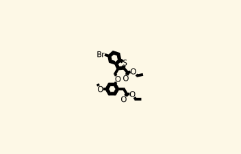 CCOC(=O)Cc1ccc(OC)cc1OCc1c(C(=O)OCC)sc2ccc(Br)cc12